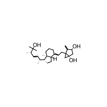 C=C1[C@@H](O)C[C@@]2(O)CC12C/C=C1\CCC[C@]2(C)[C@@H]([C@H](C)/C=C/[C@H](C)C(C)(C)O)CC[C@@H]12